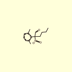 CCCCC(C=O)(c1c(C)cccc1C)[N+](=O)[O-]